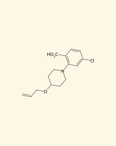 C=CCOC1CCN(c2cc(Cl)ccc2C(=O)O)CC1